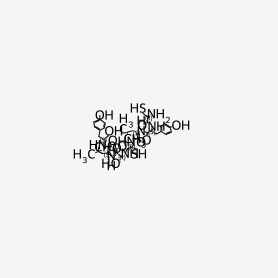 CC(C)C[C@H](NC(=O)[C@H](Cc1ccc(O)cc1)NC(=O)[C@@H](N)CS)C(=O)N[C@@H](CS)C(=O)N[C@H](CO)C(=O)N[C@@H](CC(C)C)C(=O)N[C@@H](Cc1ccc(O)cc1)C(=O)O